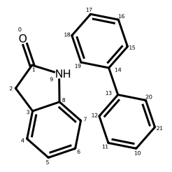 O=C1Cc2ccccc2N1.c1ccc(-c2ccccc2)cc1